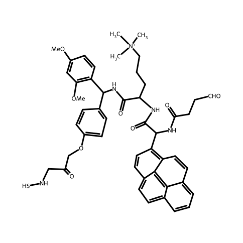 COc1ccc(C(NC(=O)C(CCC[N+](C)(C)C)NC(=O)C(NC(=O)CCC=O)c2ccc3ccc4cccc5ccc2c3c45)c2ccc(OCC(=O)CNS)cc2)c(OC)c1